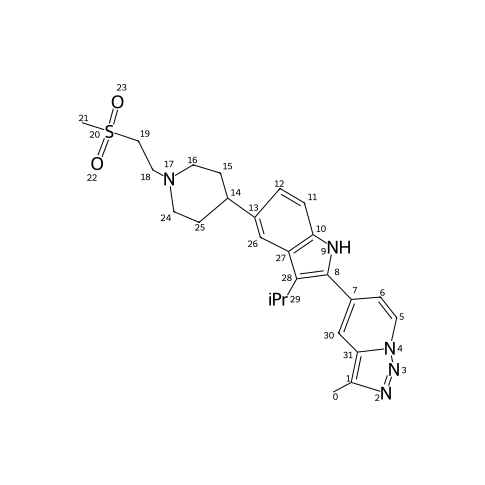 Cc1nnn2ccc(-c3[nH]c4ccc(C5CCN(CCS(C)(=O)=O)CC5)cc4c3C(C)C)cc12